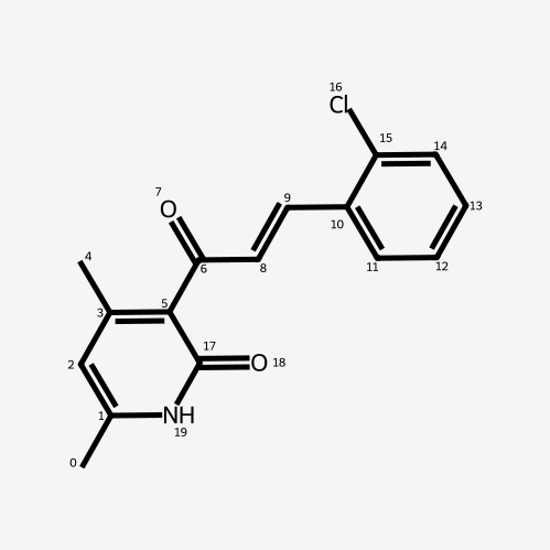 Cc1cc(C)c(C(=O)C=Cc2ccccc2Cl)c(=O)[nH]1